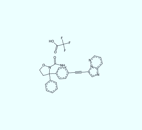 NC(=O)N1OCCC1(c1ccccc1)c1ccc(C#Cc2cnc3cccnn23)cc1.O=C(O)C(F)(F)F